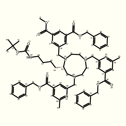 COC(=O)c1cc(C(=O)OCc2ccccc2)cc(CN2CCN(Cc3cc(C(=O)OCc4ccccc4)cc(C)n3)CCN(Cc3cc(C(=O)OCc4ccccc4)cc(C)n3)C[C@@H]2CCCCNC(=O)OC(C)(C)C)n1